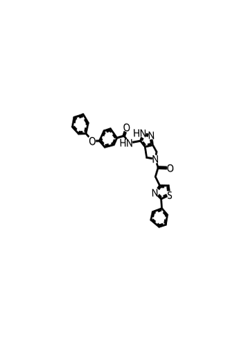 O=C(Nc1[nH]nc2c1CN(C(=O)Cc1csc(-c3ccccc3)n1)C2)c1ccc(Oc2ccccc2)cc1